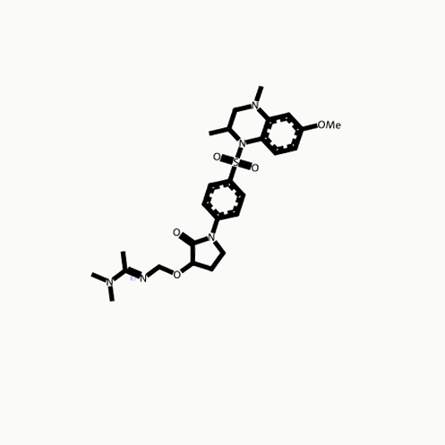 COc1ccc2c(c1)N(C)CC(C)N2S(=O)(=O)c1ccc(N2CCC(OC/N=C(\C)N(C)C)C2=O)cc1